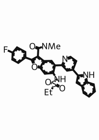 CCS(=O)(=O)Nc1cc2oc(-c3ccc(F)cc3)c(C(=O)NC)c2cc1-c1cc(-c2cc3ccccc3[nH]2)ccn1